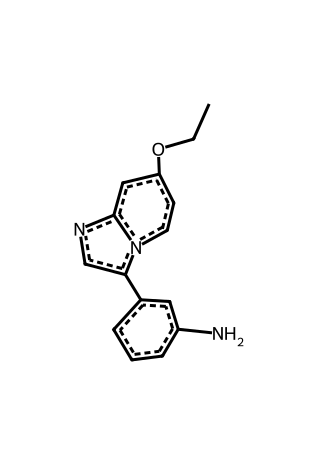 CCOc1ccn2c(-c3cccc(N)c3)cnc2c1